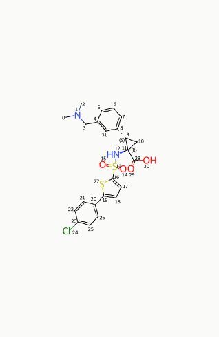 CN(C)Cc1cccc([C@@H]2C[C@]2(NS(=O)(=O)c2ccc(-c3ccc(Cl)cc3)s2)C(=O)O)c1